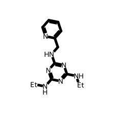 CCNc1nc(NCC)nc(NCc2ccccn2)n1